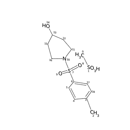 CS(=O)(=O)O.Cc1ccc(S(=O)(=O)N2CCC(O)CC2)cc1